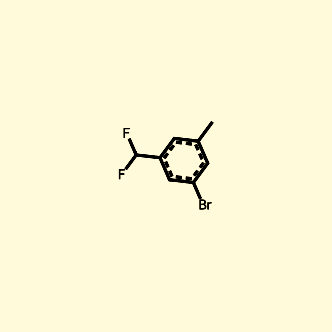 Cc1cc(Br)cc([C](F)F)c1